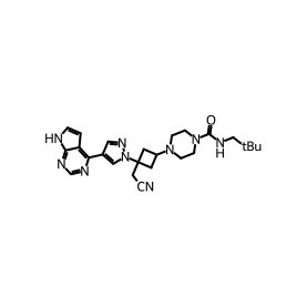 CC(C)(C)CNC(=O)N1CCN(C2CC(CC#N)(n3cc(-c4ncnc5[nH]ccc45)cn3)C2)CC1